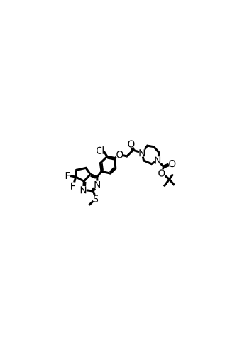 CSc1nc(-c2ccc(OCC(=O)N3CCCN(C(=O)OC(C)(C)C)CC3)c(Cl)c2)c2c(n1)C(F)(F)CC2